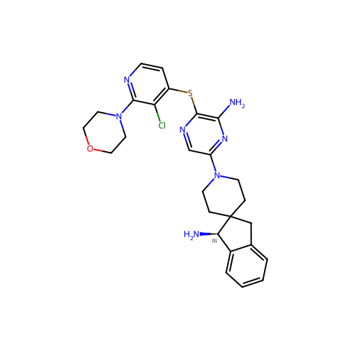 Nc1nc(N2CCC3(CC2)Cc2ccccc2[C@H]3N)cnc1Sc1ccnc(N2CCOCC2)c1Cl